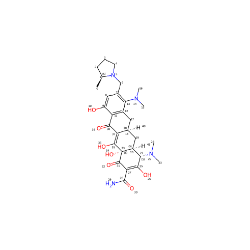 C[C@H]1CCCN1Cc1cc(O)c2c(c1N(C)C)C[C@H]1C[C@H]3[C@H](N(C)C)C(O)=C(C(N)=O)C(=O)[C@@]3(O)C(O)=C1C2=O